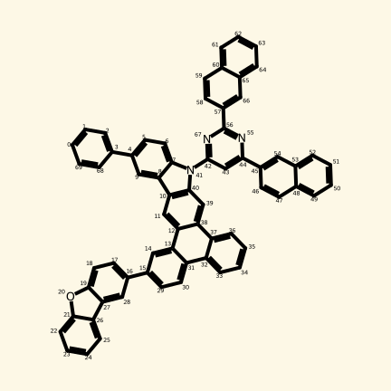 c1ccc(-c2ccc3c(c2)c2cc4c5cc(-c6ccc7oc8ccccc8c7c6)ccc5c5ccccc5c4cc2n3-c2cc(-c3ccc4ccccc4c3)nc(-c3ccc4ccccc4c3)n2)cc1